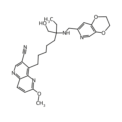 CCC(CO)(CCCCCc1c(C#N)cnc2ccc(OC)nc12)NCc1cc2c(cn1)OCCO2